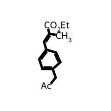 CCOC(=O)/C(C)=C/c1ccc(CC(C)=O)cc1